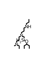 CCCNCCCN(CCCN(C)CC)C[SiH2]OC(CC)CC